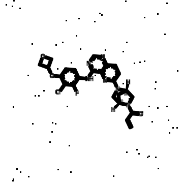 C=CC(=O)N1C[C@@H]2C[C@H]1CN2c1ccc2ncnc(Nc3ccc(OC4COC4)c(Cl)c3F)c2n1